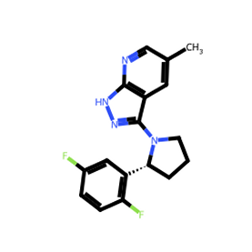 Cc1cnc2[nH]nc(N3CCC[C@@H]3c3cc(F)ccc3F)c2c1